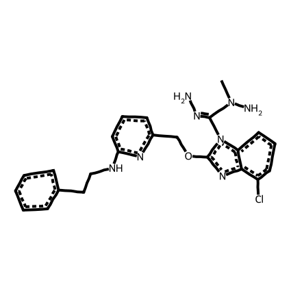 CN(N)/C(=N\N)n1c(OCc2cccc(NCCc3ccccc3)n2)nc2c(Cl)cccc21